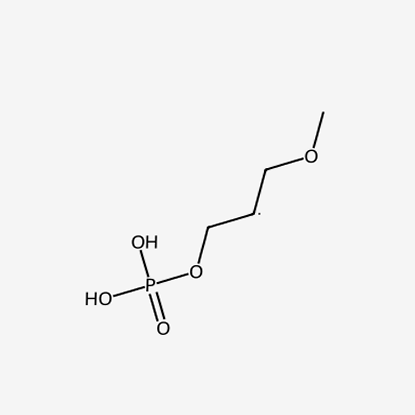 COC[CH]COP(=O)(O)O